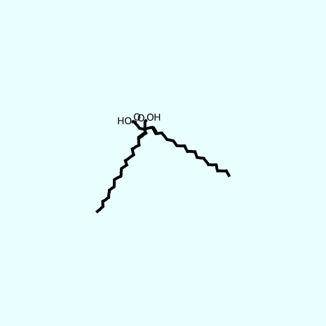 CCCCCCCCCCCCCC/C=C/C(/C=C/CCCCCCCCCCCCCC)(CC(=O)O)C(=O)O